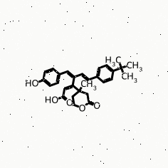 CC1(C(=CC(=O)O)C(C=Cc2ccc(C(C)(C)C)cc2)=Cc2ccc(O)cc2)CCOC(=O)C1